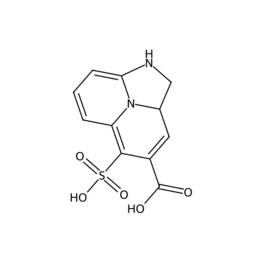 O=C(O)C1=CC2CNC3=CC=CC(=C1S(=O)(=O)O)N32